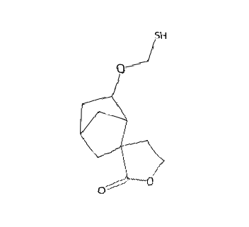 O=C1OCCC12CC1CC(OCS)C2C1